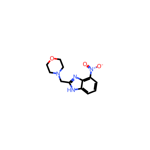 O=[N+]([O-])c1cccc2[nH]c(CN3CCOCC3)nc12